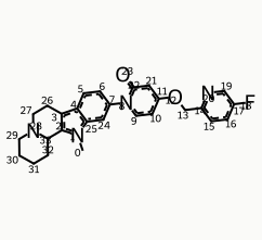 Cn1c2c(c3ccc(-n4ccc(OCc5ccc(F)cn5)cc4=O)cc31)CCN1CCCCC21